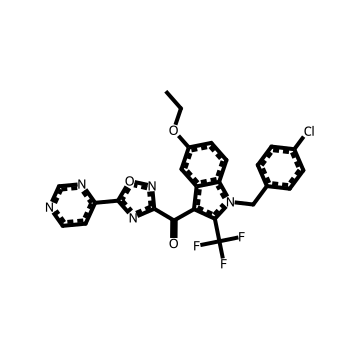 CCOc1ccc2c(c1)c(C(=O)c1noc(-c3ccncn3)n1)c(C(F)(F)F)n2Cc1ccc(Cl)cc1